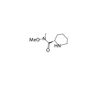 CON(C)C(=O)[C@H]1CCCCN1